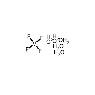 O.O.O.O.O.[F][V]([F])([F])[F]